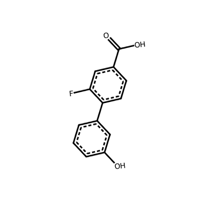 O=C(O)c1ccc(-c2cccc(O)c2)c(F)c1